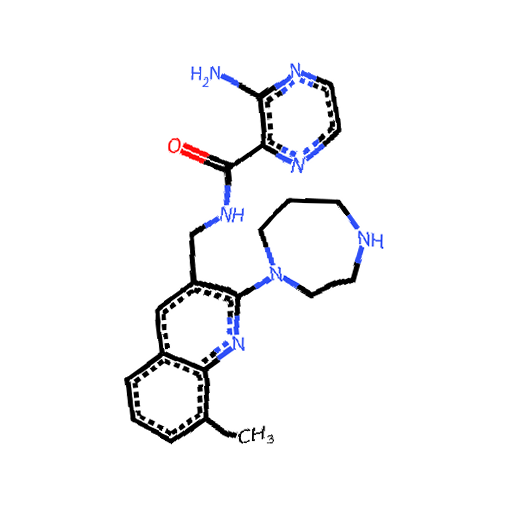 Cc1cccc2cc(CNC(=O)c3nccnc3N)c(N3CCCNCC3)nc12